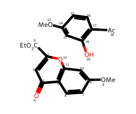 CCOC(=O)c1cc(=O)c2ccc(OC)cc2o1.COc1ccc(C(C)=O)c(O)c1